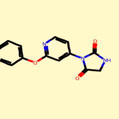 O=C1CNC(=O)N1c1ccnc(Oc2ccccc2)c1